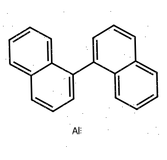 [Al].c1ccc2c(-c3cccc4ccccc34)cccc2c1